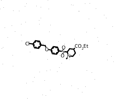 CCOC(=O)C1CCN(C)C(S(=O)(=O)c2ccc(OCc3ccc(Cl)cc3)cc2)C1